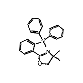 CC1(C)COC(c2ccccc2[Si](C)(c2ccccc2)c2ccccc2)=N1